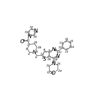 O=C(C1CCN(Cc2cc3nc(-c4ccccc4)nc(N4CCOCC4)c3s2)CC1)n1ccnc1